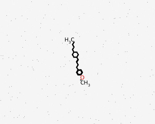 CCCCCC1CCC(C=CCCc2ccc(OCC)cc2)CC1